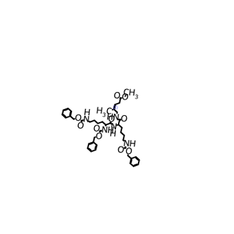 COC(=O)C/C=C(/C)CNC(=O)C(CCCCNC(=O)OCc1ccccc1)NC(=O)C(CCCCNC(=O)OCc1ccccc1)NC(=O)OCc1ccccc1